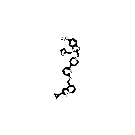 O=C(O)c1ccc2nc(CN3CCC(c4cccc(OCc5cccn6nc(C7CC7)cc56)n4)CC3)n(CC3CCO3)c2c1